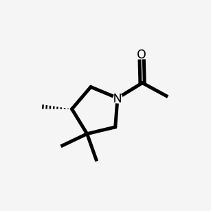 CC(=O)N1C[C@@H](C)C(C)(C)C1